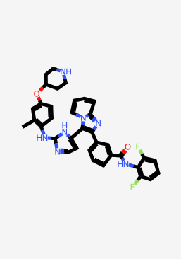 Cc1cc(OC2CCNCC2)ccc1NC1N=CC=C(c2c(-c3cccc(C(=O)Nc4c(F)cccc4F)c3)nc3ccccn23)N1